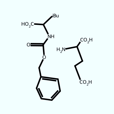 CCC(C)C(NC(=O)OCc1ccccc1)C(=O)O.NC(CCC(=O)O)C(=O)O